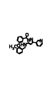 COc1cccc(C(=O)n2nc(-c3cccnc3)cc2NCc2ccccc2)c1